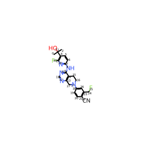 CC(C)(O)c1ccc(Nc2ncnc3c2CCN(c2ccc(C#N)c(CF)c2)C3)nc1F